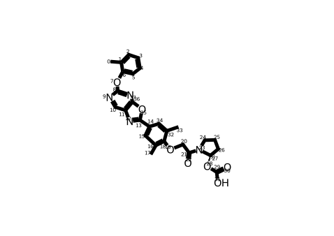 Cc1ccccc1Oc1ncc2nc(-c3cc(C)c(OCC(=O)N4CCC[C@@H]4OC(=O)O)c(C)c3)oc2n1